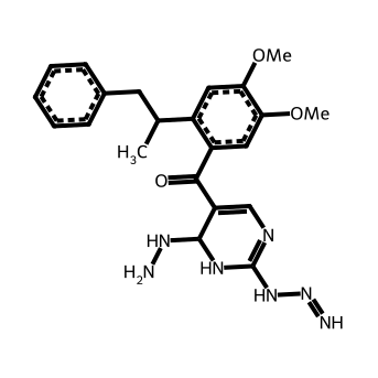 COc1cc(C(=O)C2=CN=C(NN=N)NC2NN)c(C(C)Cc2ccccc2)cc1OC